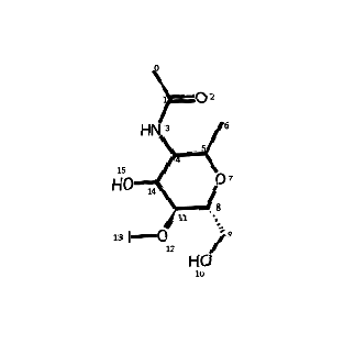 CC(=O)NC1C(C)O[C@H](CO)[C@@H](OI)C1O